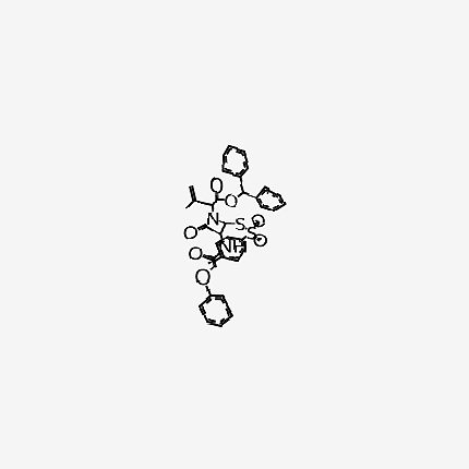 C=C(C)C(C(=O)OC(c1ccccc1)c1ccccc1)N1C(=O)C(NC(=O)COc2ccccc2)C1SS(=O)(=O)c1ccc(C)cc1